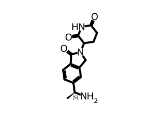 C[C@H](N)c1ccc2c(c1)CN(C1CCC(=O)NC1=O)C2=O